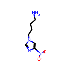 NCCCCn1cnc([N+](=O)[O-])c1